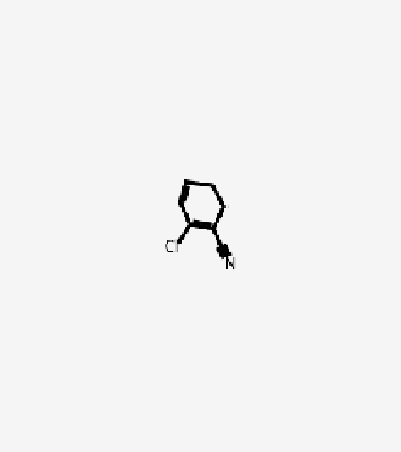 N#CC1=C(Cl)C=CC[CH]1